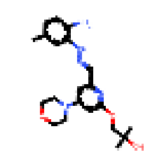 Cc1ccc(N)c(N/N=C/c2cc(N3CCOCC3)cc(OCC(C)(C)O)n2)c1